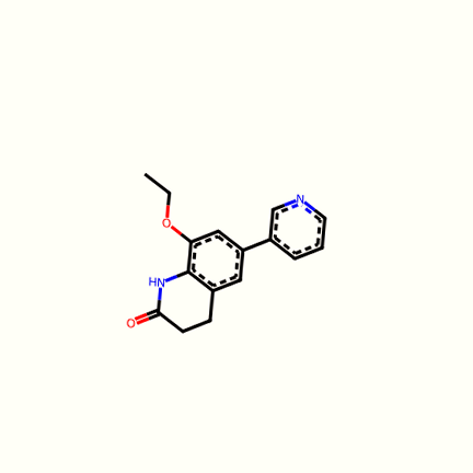 CCOc1cc(-c2cccnc2)cc2c1NC(=O)CC2